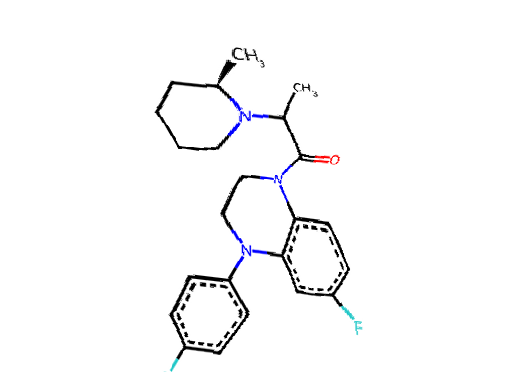 CC(C(=O)N1CCN(c2ccc(F)cc2)c2cc(F)ccc21)N1CCCC[C@H]1C